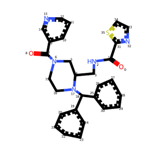 O=C(NCC1CN(C(=O)c2cccnc2)CCN1C(c1ccccc1)c1ccccc1)c1nccs1